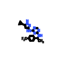 CC(Nc1ncnc(Nc2cc(C3CC3)[nH]n2)n1)c1ccc(C(F)(F)F)cc1